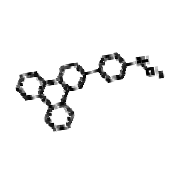 CBc1ccc(-c2ccc3c4ccccc4c4ccccc4c3c2)cc1